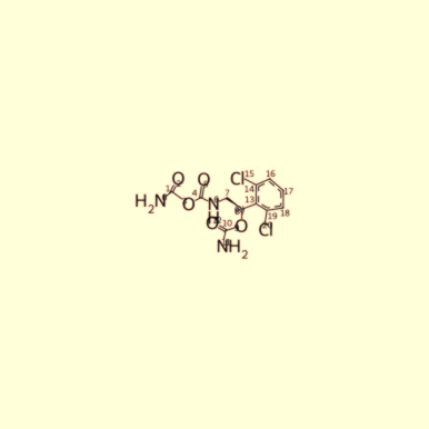 NC(=O)OC(=O)NC[C@H](OC(N)=O)c1c(Cl)cccc1Cl